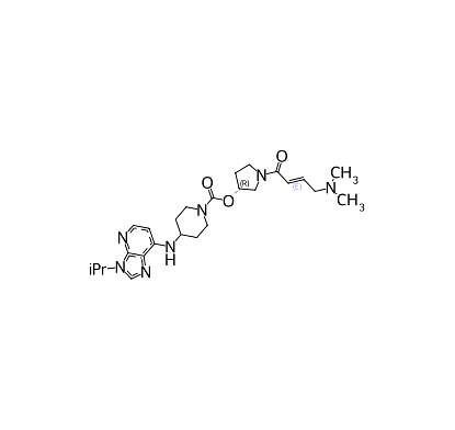 CC(C)n1cnc2c(NC3CCN(C(=O)O[C@@H]4CCN(C(=O)/C=C/CN(C)C)C4)CC3)ccnc21